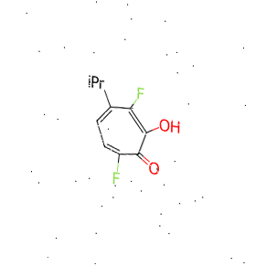 CC(C)c1ccc(F)c(=O)c(O)c1F